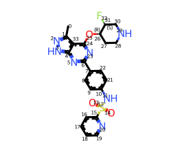 Cc1n[nH]c2nc(-c3ccc(NS(=O)(=O)c4ccccn4)cc3)nc(O[C@@H]3CCNC[C@@H]3F)c12